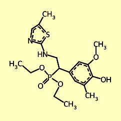 CCOP(=O)(OCC)C(CNc1ncc(C)s1)c1cc(C)c(O)c(OC)c1